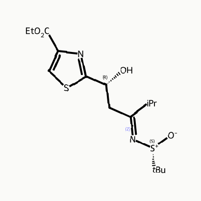 CCOC(=O)c1csc([C@H](O)C/C(=N/[S@+]([O-])C(C)(C)C)C(C)C)n1